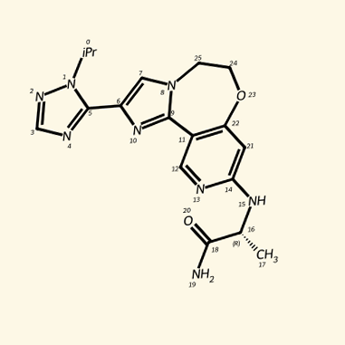 CC(C)n1ncnc1-c1cn2c(n1)-c1cnc(N[C@H](C)C(N)=O)cc1OCC2